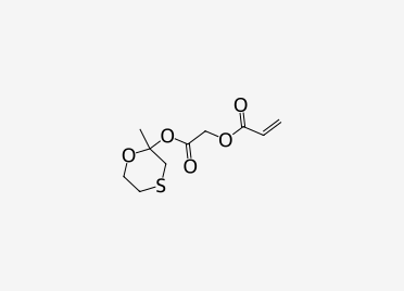 C=CC(=O)OCC(=O)OC1(C)CSCCO1